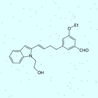 CCOc1cc(C=O)cc(CC/C=C/c2cc3ccccc3n2CCO)c1